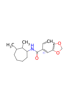 C=C/C(=C\C1=COCO1)C(=O)NC1CCCCC(C)C1C